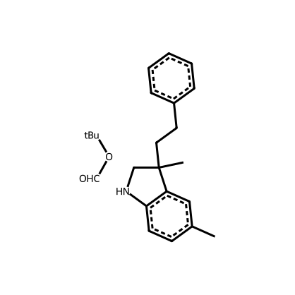 CC(C)(C)OC=O.Cc1ccc2c(c1)C(C)(CCc1ccccc1)CN2